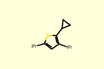 CC(C)c1cc(C(C)C)c(C2CC2)s1